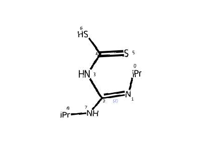 CC(C)/N=C(\NC(=S)S)NC(C)C